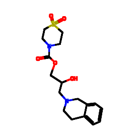 O=C(OCC(O)CN1CCc2ccccc2C1)N1CCS(=O)(=O)CC1